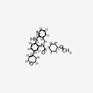 CO[C@H]1CC[C@H](C(=O)N2Cc3cccnc3Nc3ccc(C4=CCOCC4)cc32)CC1